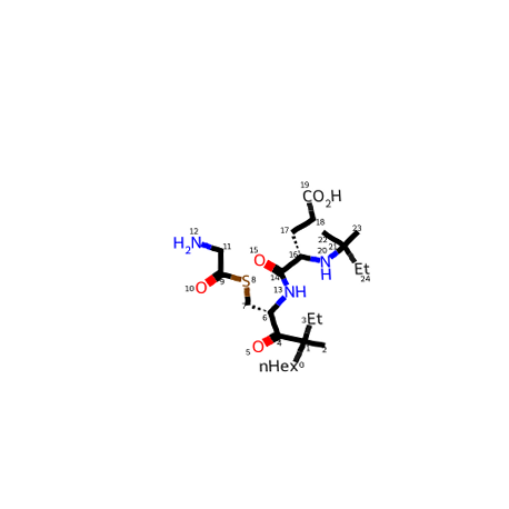 CCCCCCC(C)(CC)C(=O)[C@H](CSC(=O)CN)NC(=O)[C@H](CCC(=O)O)NC(C)(C)CC